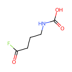 O=C(F)CCCNC(=O)O